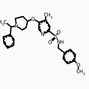 COc1ccc(CNS(=O)(=O)c2cc(C)c(OC3CCN(C(C)c4ccccc4)CC3)cn2)cc1